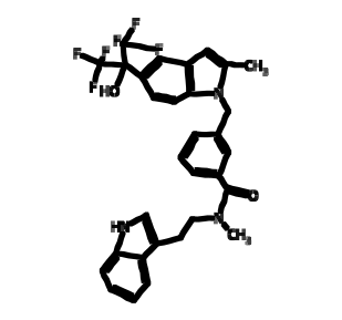 Cc1cc2cc(C(O)(C(F)(F)F)C(F)(F)F)ccc2n1Cc1cccc(C(=O)N(C)CCc2c[nH]c3ccccc23)c1